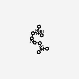 c1ccc(C2=NC(c3cccc(-c4ccc5oc6ccc(-c7cccc(-c8nc(-c9ccccc9)nc(-c9ccccc9)n8)c7)cc6c5c4)c3)=NC(c3ccccc3)N2)cc1